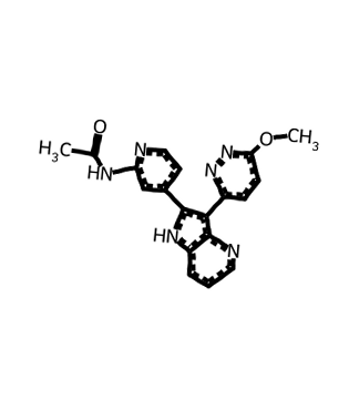 COc1ccc(-c2c(-c3ccnc(NC(C)=O)c3)[nH]c3cccnc23)nn1